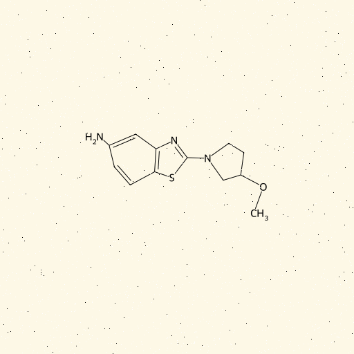 COC1CCN(c2nc3cc(N)ccc3s2)C1